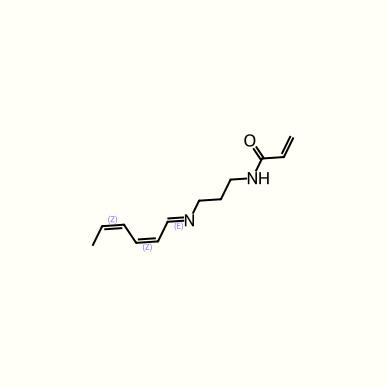 C=CC(=O)NCCC/N=C/C=C\C=C/C